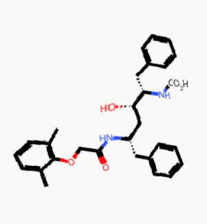 Cc1cccc(C)c1OCC(=O)N[C@@H](Cc1ccccc1)C[C@H](O)[C@H](Cc1ccccc1)NC(=O)O